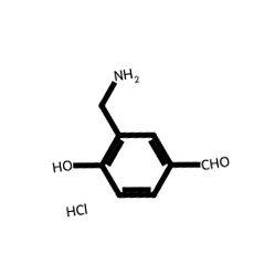 Cl.NCc1cc(C=O)ccc1O